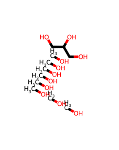 CO.CO.CO.CO.CO.CO.CO.CO.OCC(O)CO